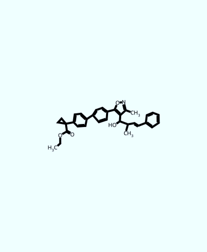 CCOC(=O)C1(c2ccc(-c3ccc(-c4onc(C)c4C(O)C(C)C=Cc4ccccc4)cc3)cc2)CC1